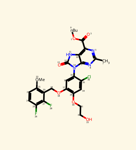 CCCCOC(=O)c1nc(C)nc2c1[nH]c(=O)n2-c1cc(OCc2c(OC)ccc(F)c2F)c(OCCO)cc1Cl